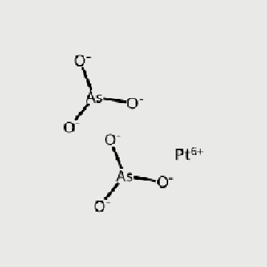 [O-][As]([O-])[O-].[O-][As]([O-])[O-].[Pt+6]